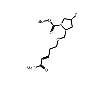 COC(=O)C=CCCOC[C@@H]1C[C@H](F)CN1C(=O)OC(C)(C)C